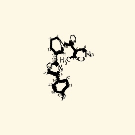 Cc1oncc1C(=O)N1CCC[C@H](c2nc(-c3ccc(F)cc3)co2)C1